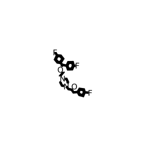 O=C(Cc1ccc(F)cc1)CN1CCN(CCOC(c2ccc(F)cc2)c2ccc(F)cc2)CC1